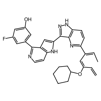 C=C/C(=C\C(=C/C)c1ccc2[nH]nc(-c3cc4c(-c5cc(O)cc(F)c5)nccc4[nH]3)c2n1)OC1CCCCC1